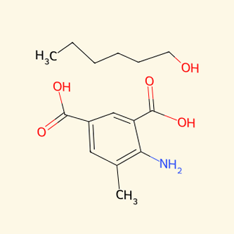 CCCCCCO.Cc1cc(C(=O)O)cc(C(=O)O)c1N